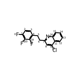 Fc1ccc(CCc2cc(Cl)c3ccccc3n2)c(F)c1F